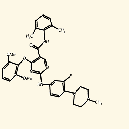 COc1cccc(OC)c1Oc1nc(Nc2ccc(N3CCN(C)CC3)c(F)c2)ncc1C(=O)Nc1c(C)cccc1C